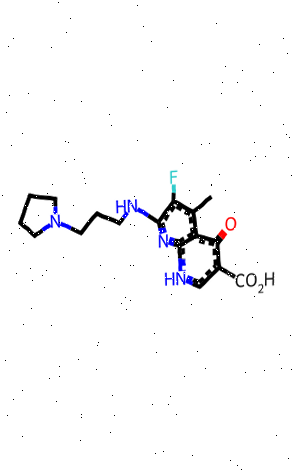 Cc1c(F)c(NCCCN2CCCC2)nc2[nH]cc(C(=O)O)c(=O)c12